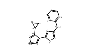 c1cnc(Nc2csc(-c3c[nH]nc3C3CC3)n2)nc1